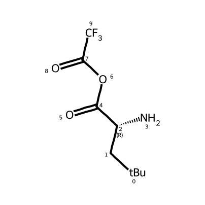 CC(C)(C)C[C@@H](N)C(=O)OC(=O)C(F)(F)F